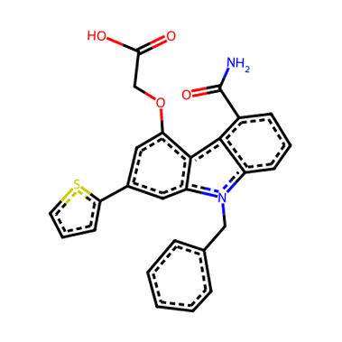 NC(=O)c1cccc2c1c1c(OCC(=O)O)cc(-c3cccs3)cc1n2Cc1ccccc1